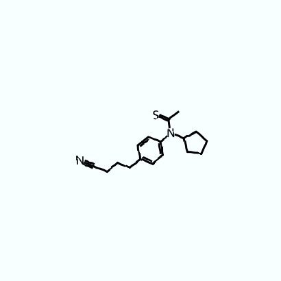 CC(=S)N(c1ccc(CCCC#N)cc1)C1CCCC1